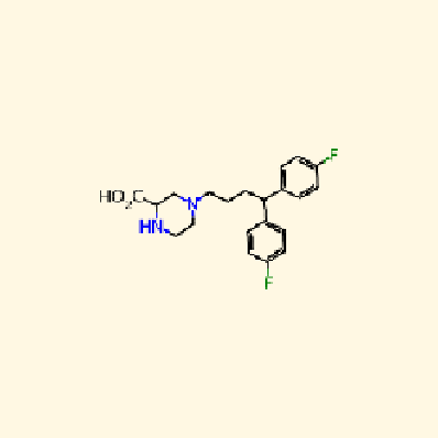 O=C(O)C1CN(CCCC(c2ccc(F)cc2)c2ccc(F)cc2)CCN1